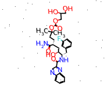 CC(C)(CC[C@H](C[C@H](O)[C@H](Cc1cccc(F)c1)NC(=O)c1cnc2ccccc2n1)C(N)=O)OC(=O)OCC(O)CO